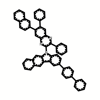 c1ccc(-c2ccc(-c3ccc4c(c3)c3cc5ccccc5cc3n4-c3nc4cc(-c5ccc6ccccc6c5)c(-c5ccccc5)cc4nc3-c3ccccc3)cc2)cc1